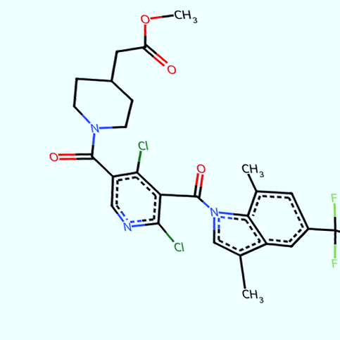 COC(=O)CC1CCN(C(=O)c2cnc(Cl)c(C(=O)n3cc(C)c4cc(C(F)(F)F)cc(C)c43)c2Cl)CC1